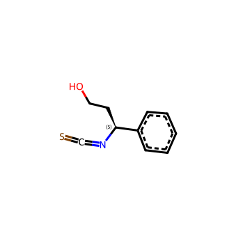 OCC[C@H](N=C=S)c1ccccc1